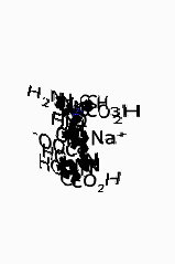 CC(C)(O/N=C(\C(=O)NC1C(=O)N2C(C(=O)[O-])=C(CSc3nnnn3-c3cc(O)c(O)c(Cl)c3CC(=O)O)CS[C@H]12)c1csc(N)n1)C(=O)O.[Na+]